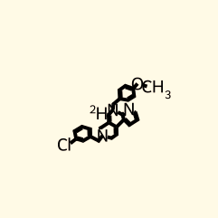 [2H]C1=C2CN(Cc3cccc(Cl)c3)CC=C2c2cccnc2N1Cc1ccc(OC)cc1